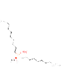 CCCCCCCCCCCCCCCCCCP(=O)(O)CCCCCCCCCCCCCCCCCC.[Mo]